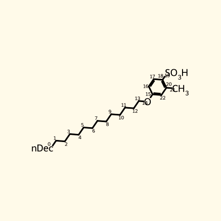 CCCCCCCCCCCCCCCCCCCCCCCOc1ccc(S(=O)(=O)O)c(C)c1